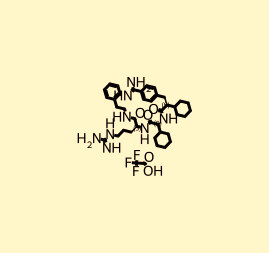 N=C(N)NCCC[C@H](NC(=O)[C@@H](NC(=O)[C@@H](Cc1ccc(C(=N)N)cc1)C1CCCCC1)C1CCCCC1)C(=O)NCCc1ccccc1.O=C(O)C(F)(F)F